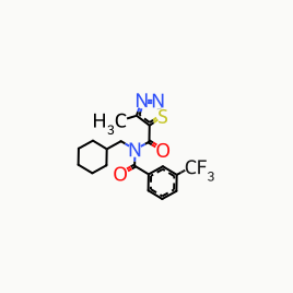 Cc1nnsc1C(=O)N(CC1CCCCC1)C(=O)c1cccc(C(F)(F)F)c1